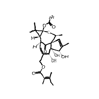 CCCC(=O)O[C@@]12C[C@@H](C)[C@]34C=C(C)[C@H](O)[C@@]3(O)[C@H](O)C(COC(=O)C(C)=C(C)C)=C[C@H](C4=O)[C@@H]1C2(C)C